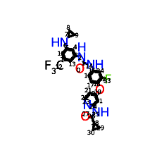 O=C(Nc1cc(NC2CC2)cc(C(F)(F)F)c1)Nc1ccc(Oc2ccnc(NC(=O)C3CC3)c2)c(F)c1